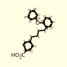 O=C(O)c1ccc(CCCCc2ccccc2Oc2ccccc2)cc1